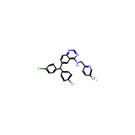 FC(F)(F)c1ccc(CNc2ncnc3ccc(C(c4ccc(Cl)cc4)c4ccc(Cl)cc4)cc23)nc1